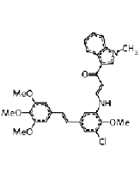 COc1cc(C=Cc2cc(Cl)c(OC)c(NC=CC(=O)c3cn(C)c4ccccc34)c2)cc(OC)c1OC